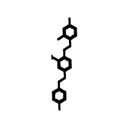 Cc1ccc(CCc2ccc(CCc3ccc(C)cc3C)c(I)c2)cc1